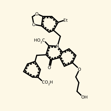 CCc1cc2c(cc1Cn1c(C(=O)O)c(Cc3cccc(C(=O)O)c3)c(=O)c3cc(OCCCO)ccc31)OCO2